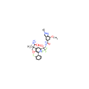 COc1cc(C(=O)NCC(O)(c2cc3c(c(-c4ccccc4F)n2)OC[C@]3(C)C(N)=O)C(F)(F)F)cc2cn(C3CC3)nc12